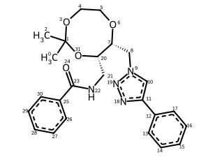 CC1(C)OCCO[C@H](Cn2cc(-c3ccccc3)nn2)[C@H](CNC(=O)c2ccccc2)O1